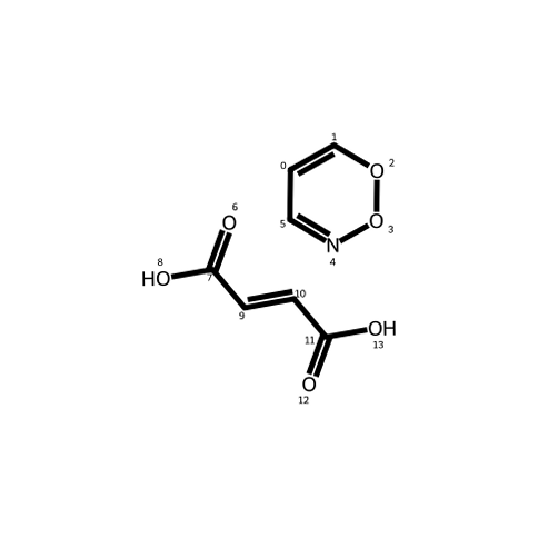 C1=COON=C1.O=C(O)C=CC(=O)O